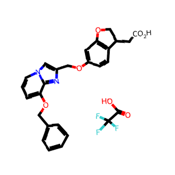 O=C(O)C(F)(F)F.O=C(O)CC1COc2cc(OCc3cn4cccc(OCc5ccccc5)c4n3)ccc21